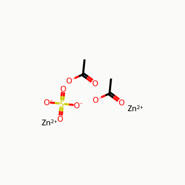 CC(=O)[O-].CC(=O)[O-].O=S(=O)([O-])[O-].[Zn+2].[Zn+2]